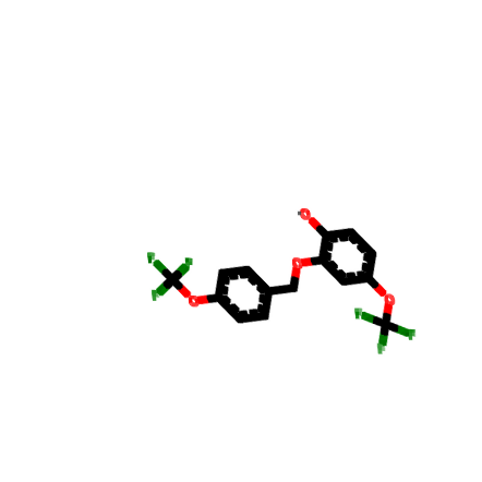 [O]c1ccc(OC(F)(F)F)cc1OCc1ccc(OC(F)(F)F)cc1